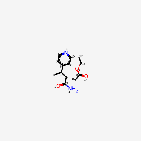 CC(CC(N)=O)c1ccncc1.CCOC(C)=O